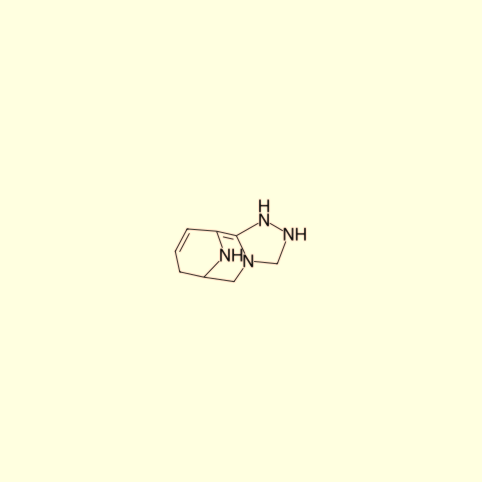 C1=CC2=C3NNCN3CC(C1)N2